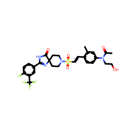 CC(=O)N(CCO)c1ccc(/C=C/S(=O)(=O)N2CCC3(CC2)N=C(c2ccc(F)c(C(F)(F)F)c2)NC3=O)c(C)c1